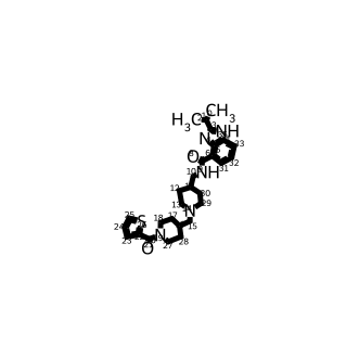 CC(C)c1nc2c(C(=O)NCC3CCN(CC4CCN(C(=O)c5cccs5)CC4)CC3)cccc2[nH]1